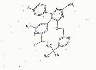 Cc1cc(-c2c(OCc3cc(C(C)(C)C#N)ccn3)nc(N)nc2-c2ccc(F)cc2)cc(C(F)F)n1